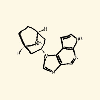 c1cc2c(ncc3ncn([C@@H]4C[C@H]5CC[C@@H](C4)N5)c32)[nH]1